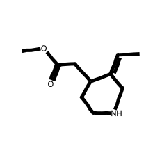 C/C=C1\CNCCC1CC(=O)OC